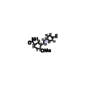 COc1ccc(C(N)=O)cc1/C=C/c1ccc(F)cc1